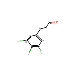 O=CCCc1cc(F)c(F)c(F)c1